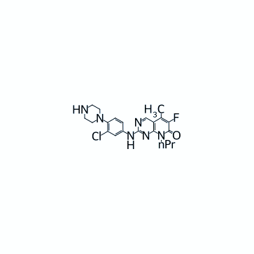 CCCn1c(=O)c(F)c(C)c2cnc(Nc3ccc(N4CCNCC4)c(Cl)c3)nc21